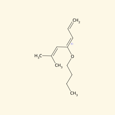 C=C/C=C(\C=C(C)C)OCCCC